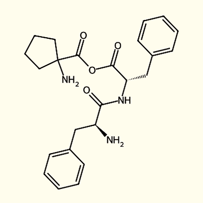 N[C@@H](Cc1ccccc1)C(=O)N[C@@H](Cc1ccccc1)C(=O)OC(=O)C1(N)CCCC1